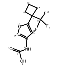 O=C(O)Nc1cc(C2(C(F)(F)F)CCC2)on1